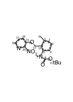 Cc1cccc(N(C)C(=O)OC(C)(C)C)c1COc1cccnc1[N+](=O)[O-]